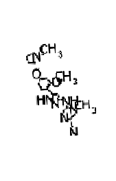 CCN1CCC[C@H]1COc1ccc(-c2cc(NC3C=NC(C#N)=CN3C)n[nH]2)c(OC)c1